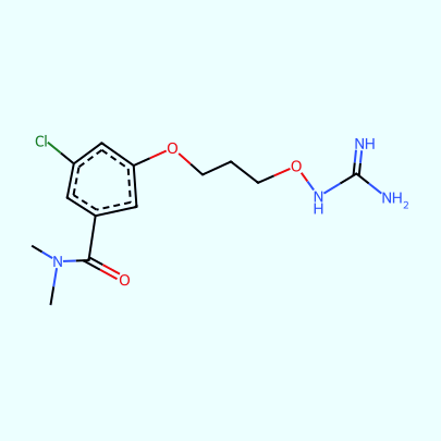 CN(C)C(=O)c1cc(Cl)cc(OCCCONC(=N)N)c1